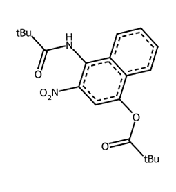 CC(C)(C)C(=O)Nc1c([N+](=O)[O-])cc(OC(=O)C(C)(C)C)c2ccccc12